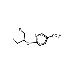 O=C(O)c1ccc(OC(CF)CF)nc1